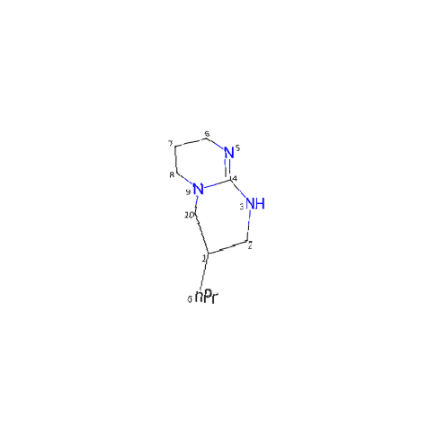 CCCC1CNC2=NCCCN2C1